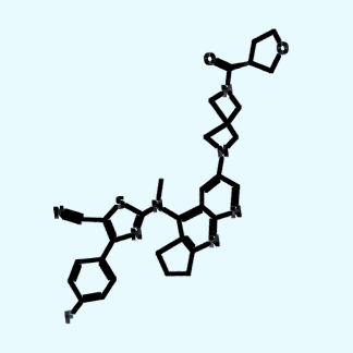 CN(c1nc(-c2ccc(F)cc2)c(C#N)s1)c1c2c(nc3ncc(N4CC5(CN(C(=O)[C@H]6CCOC6)C5)C4)cc13)CCC2